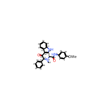 COc1ccc(NC(=O)CN(C)C(C(=O)c2c[nH]c3ccccc23)c2ccccc2)cc1